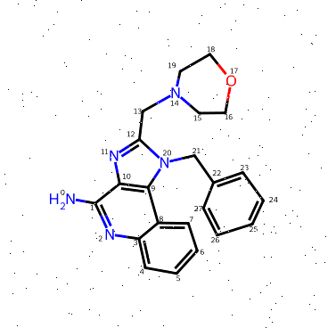 Nc1nc2ccccc2c2c1nc(CN1CCOCC1)n2Cc1ccccc1